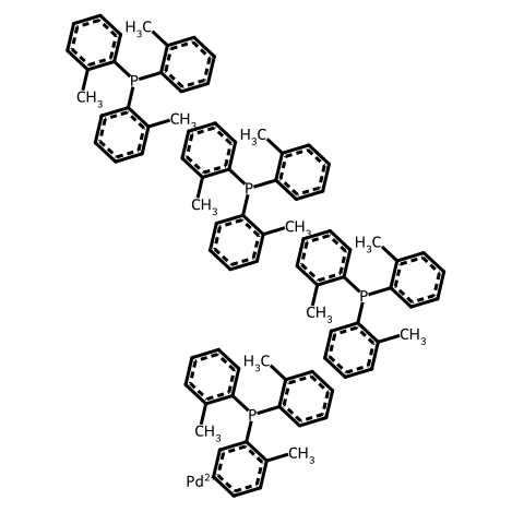 Cc1ccccc1P(c1ccccc1C)c1ccccc1C.Cc1ccccc1P(c1ccccc1C)c1ccccc1C.Cc1ccccc1P(c1ccccc1C)c1ccccc1C.Cc1ccccc1P(c1ccccc1C)c1ccccc1C.[Pd+2]